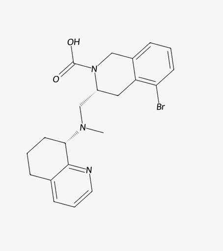 CN(C[C@H]1Cc2c(Br)cccc2CN1C(=O)O)[C@H]1CCCc2cccnc21